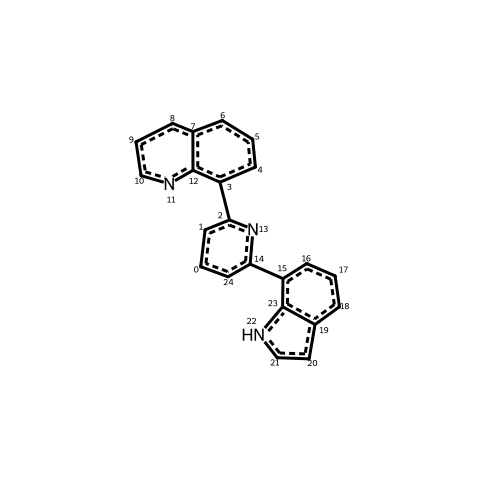 c1cc(-c2cccc3cccnc23)nc(-c2cccc3cc[nH]c23)c1